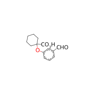 O=Cc1cccc(OC2(C(=O)O)CCCCC2)c1